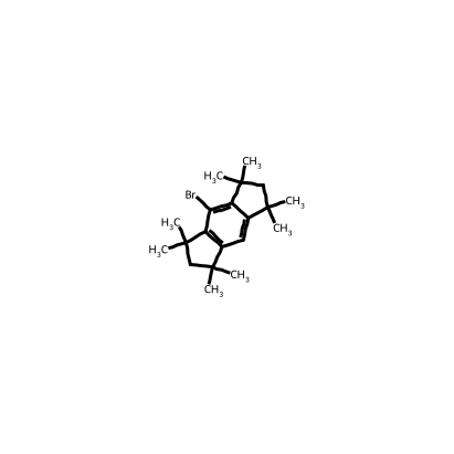 CC1(C)CC(C)(C)c2c1cc1c(c2Br)C(C)(C)CC1(C)C